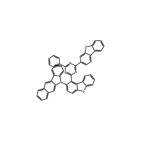 c1ccc(-c2nc(-c3ccc4c(c3)oc3ccccc34)nc(-c3c(-n4c5ccccc5c5cc6ccccc6cc54)ccc4sc5ccccc5c34)n2)cc1